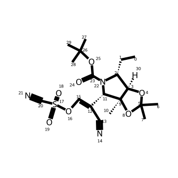 CC[C@@H]1[C@H]2OC(C)(C)O[C@@]2(C)[C@H](/C(C#N)=C/OS(=O)(=O)C#N)N1C(=O)OC(C)(C)C